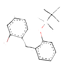 CC(C)(C)[Si](C)(C)Oc1ccccc1Cc1ccccc1Br